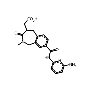 CN1Cc2cc(C(=O)Nc3cccc(N)n3)ccc2CC(CC(=O)O)C1=O